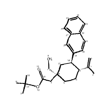 C=C(C)[C@@H]1CC[C@@](CO)(CC(=O)OC(C)(C)C)C[C@H]1c1ccc2ccccc2c1